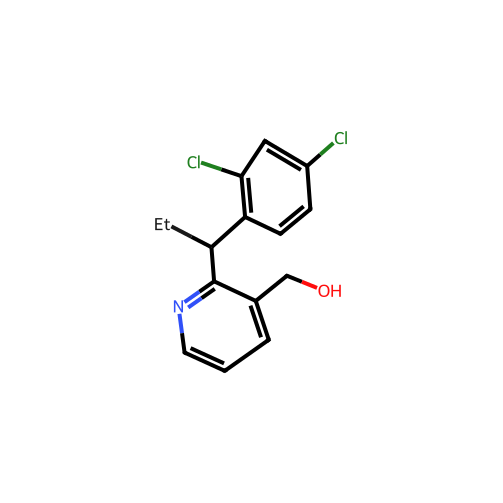 CCC(c1ccc(Cl)cc1Cl)c1ncccc1CO